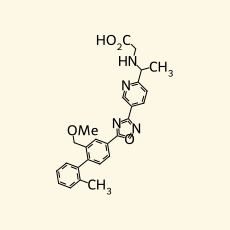 COCc1cc(-c2nc(-c3ccc(C(C)NCC(=O)O)nc3)no2)ccc1-c1ccccc1C